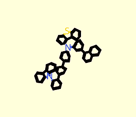 c1cc(-c2cccc3ccccc23)cc(N(c2ccc(-c3ccc(-c4ccccc4-n4c5ccccc5c5ccccc54)cc3)cc2)c2cccc3sc4ccccc4c23)c1